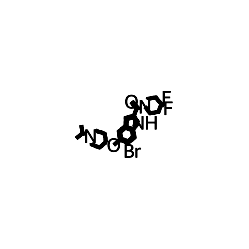 CC(C)N1CCC(Oc2cc3cc(C(=O)N4CCC(F)(F)CC4)[nH]c3cc2Br)CC1